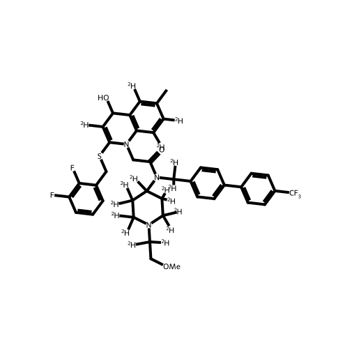 [2H]C1=C(SCc2cccc(F)c2F)N(CC(=O)N(C([2H])([2H])c2ccc(-c3ccc(C(F)(F)F)cc3)cc2)C2([2H])C([2H])([2H])C([2H])([2H])N(C([2H])([2H])COC)C([2H])([2H])C2([2H])[2H])c2c([2H])c([2H])c(C)c([2H])c2C1O